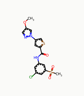 COc1cnn(-c2csc(C(=O)Nc3cc(Cl)cc(S(C)(=O)=O)c3)c2)c1